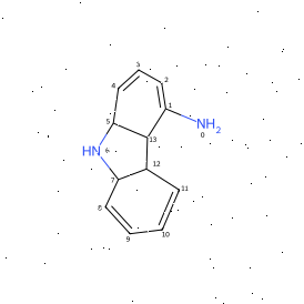 NC1=CC=CC2NC3C=CC=CC3C12